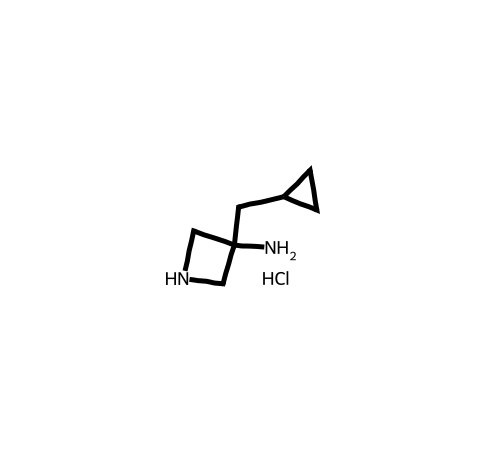 Cl.NC1(CC2CC2)CNC1